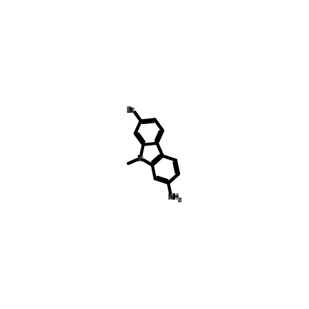 Cn1c2cc(N)ccc2c2ccc(Br)cc21